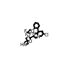 FC(F)(F)COc1ccccc1-c1cc(Cl)cn2cc(C3=NCC4(CNC4)O3)nc12